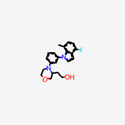 Cc1ccc(F)c2ccn(-c3cccc(N4CCOCC4CCO)c3)c12